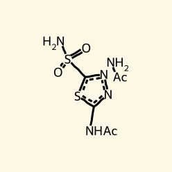 CC(=O)Nc1nnc(S(N)(=O)=O)s1.CC(N)=O